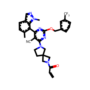 C=CC(=O)N1CC2(CCN(c3nc(OCc4cccc(C(F)(F)F)c4)nc(-c4c(C)ccc5cnn(C)c45)c3C#N)C2)C1